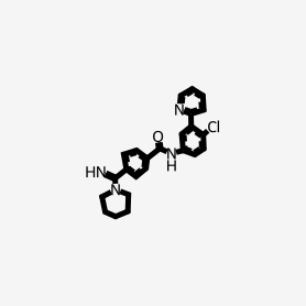 N=C(c1ccc(C(=O)Nc2ccc(Cl)c(-c3ccccn3)c2)cc1)N1CCCCC1